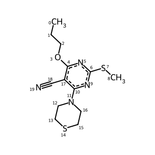 CCCOc1nc(SC)nc(N2CCSCC2)c1C#N